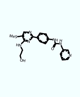 CSc1cnc(-c2ccc(NC(=O)Nc3cccnc3)cc2)nc1NCCO